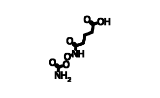 NC(=O)OONC(=O)CCCC(=O)O